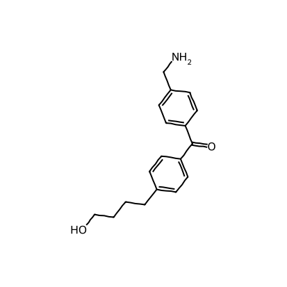 NCc1ccc(C(=O)c2ccc(CCCCO)cc2)cc1